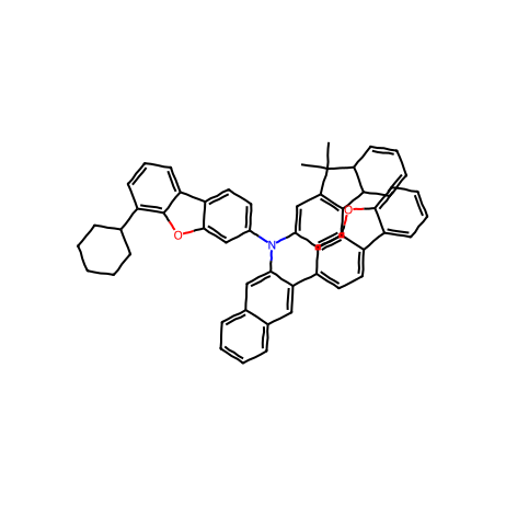 CC1(C)c2cc(N(c3ccc4c(c3)oc3c(C5CCCCC5)cccc34)c3cc4ccccc4cc3-c3ccc4c(c3)oc3ccccc34)ccc2C2C=CC=CC21